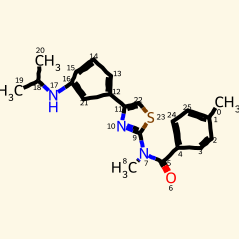 Cc1ccc(C(=O)N(C)c2nc(-c3cccc(NC(C)C)c3)cs2)cc1